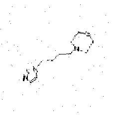 [c]1cn(CCCCN2CCSCC2)cn1